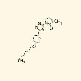 CCCCCCOC1CCC(c2nnc(N3CCN(C)C3=O)s2)CC1